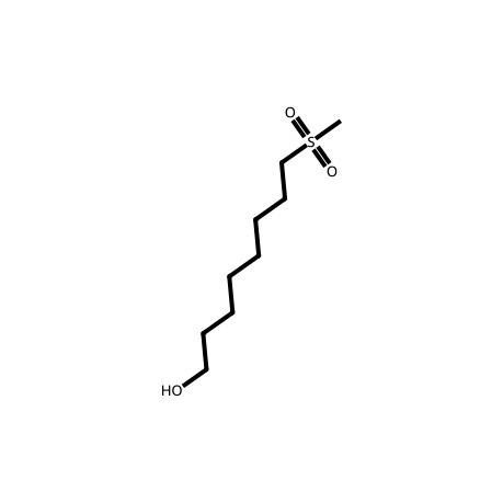 CS(=O)(=O)CCCCCCCCO